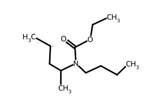 C[CH]CC(C)N(CCCC)C(=O)OCC